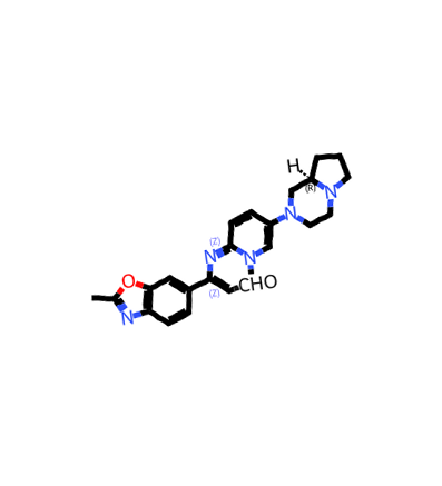 Cc1nc2ccc(C(=C/C=O)/N=c3/ccc(N4CCN5CCC[C@@H]5C4)cn3C)cc2o1